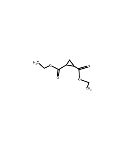 CCOC(=O)C1CC1C(=O)OCC